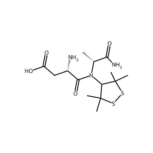 C[C@H](C(N)=O)N(C(=O)[C@@H](N)CC(=O)O)C1C(C)(C)SSC1(C)C